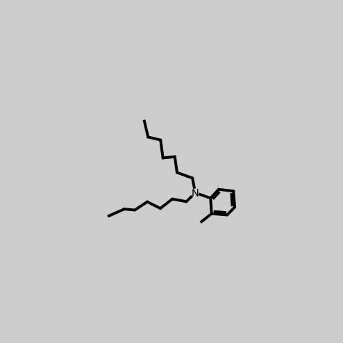 CCCCCCCN(CCCCCCC)c1ccccc1C